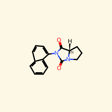 O=C1[C@@H]2CCCN2C(=O)N1c1cccc2ccccc12